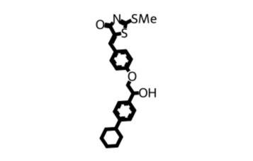 CSC1=NC(=O)C(=Cc2ccc(OCC(O)c3ccc(C4CCCCC4)cc3)cc2)S1